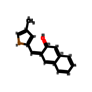 Cc1csc(C=C2C=c3ccccc3=CC2=O)c1